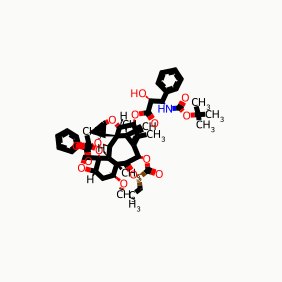 C#C[C@@]1(C)C2=C(C)[C@@H](OC(=O)[C@H](O)[C@@H](NC(=O)OC(C)(C)C)c3ccccc3)[C@@H]3OC4=CC4[C@@]31[C@@H](OC(=O)c1ccccc1)[C@@H]1[C@]3(OC(C)=O)CO[C@@H]3C[C@H](OC)[C@@]1(C)C(=O)[C@@H]2OC(=O)SCC